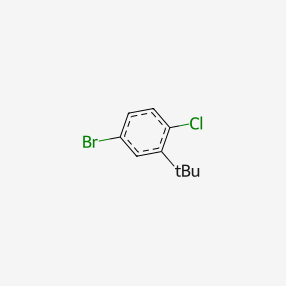 CC(C)(C)c1cc(Br)ccc1Cl